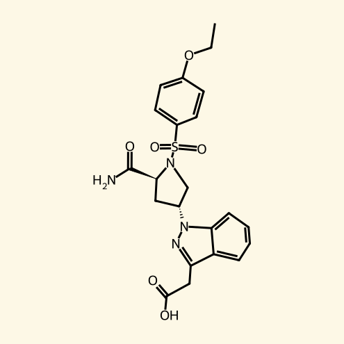 CCOc1ccc(S(=O)(=O)N2C[C@H](n3nc(CC(=O)O)c4ccccc43)C[C@H]2C(N)=O)cc1